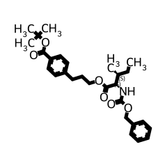 CC[C@H](C)[C@H](NC(=O)OCc1ccccc1)C(=O)OCCCc1ccc(C(=O)OC(C)(C)C)cc1